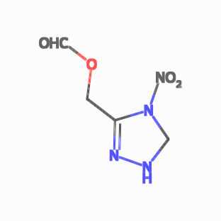 O=COCC1=NNCN1[N+](=O)[O-]